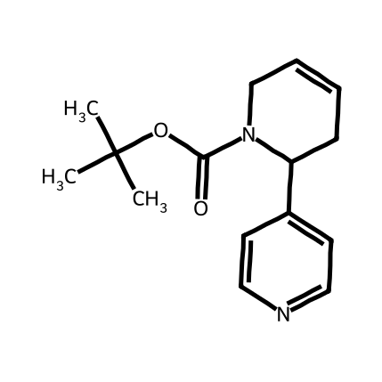 CC(C)(C)OC(=O)N1CC=CCC1c1ccncc1